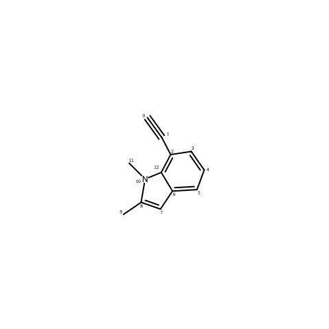 C#Cc1cccc2cc(C)n(C)c12